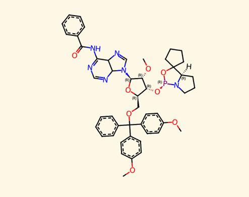 COc1ccc(C(OC[C@H]2O[C@@H](N3C=NC4C(NC(=O)c5ccccc5)=NC=NC43)[C@H](OC)[C@@H]2O[P@@]2OC3(CCCC3)[C@H]3CCCN32)(c2ccccc2)c2ccc(OC)cc2)cc1